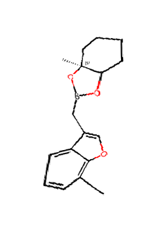 Cc1cccc2c(CB3OC4CCCC[C@]4(C)O3)coc12